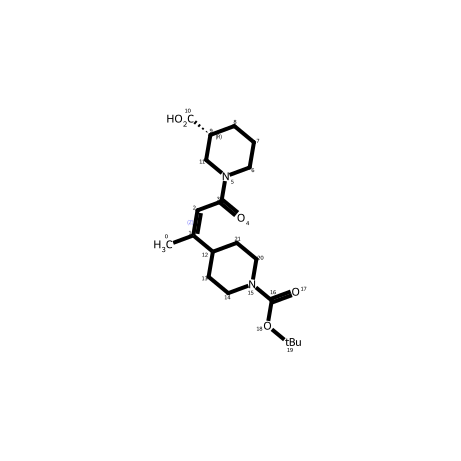 C/C(=C/C(=O)N1CCC[C@@H](C(=O)O)C1)C1CCN(C(=O)OC(C)(C)C)CC1